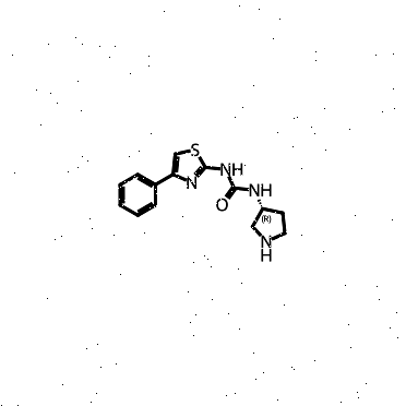 O=C(Nc1nc(-c2ccccc2)cs1)N[C@@H]1CCNC1